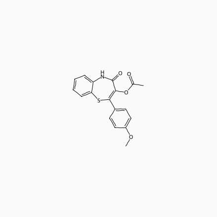 COc1ccc(C2=C(OC(C)=O)C(=O)Nc3ccccc3S2)cc1